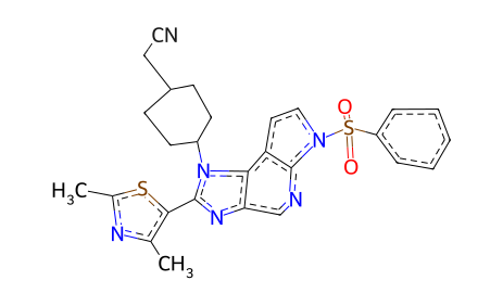 Cc1nc(C)c(-c2nc3cnc4c(ccn4S(=O)(=O)c4ccccc4)c3n2C2CCC(CC#N)CC2)s1